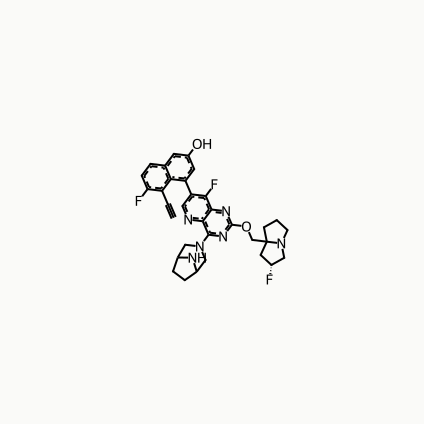 C#Cc1c(F)ccc2cc(O)cc(-c3cnc4c(N5CC6CCC(C5)N6)nc(OCC56CCCN5C[C@H](F)C6)nc4c3F)c12